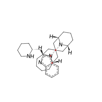 c1ccc2c(c1)nc(C[C@H]1CCCCN1)n2[C@H]1C[C@H]2CCC[C@@H](C1)N2[C@@H]1C[C@@H]2CCCC[C@@H](C2)C1